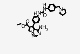 CCOC(=O)c1cn2ncnc(N)c2c1-c1ccc(NC(=O)Nc2ccc(CN3CCCC3)cc2)cc1